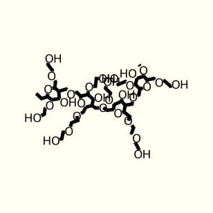 CCC1OC(COCCO)C(COCC2OC(COCCOCCO)C(COCC3OC(COCCOCCO)C(COCC4OC(COCCO)C(OC)C(O)C4OCCO)C(O)C3OCCO)C(O)C2OCCO)C(O)C1OCCO